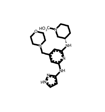 O=C(O)N1CCC[C@H](Nc2cc(CN3CCOCC3)cc(Nc3cc[nH]n3)n2)C1